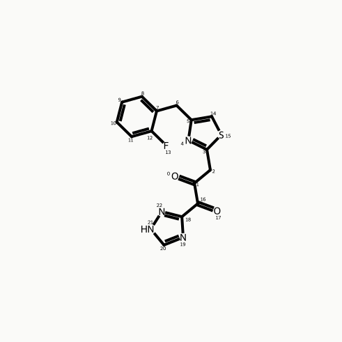 O=C(Cc1nc(Cc2ccccc2F)cs1)C(=O)c1nc[nH]n1